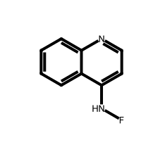 FNc1ccnc2ccccc12